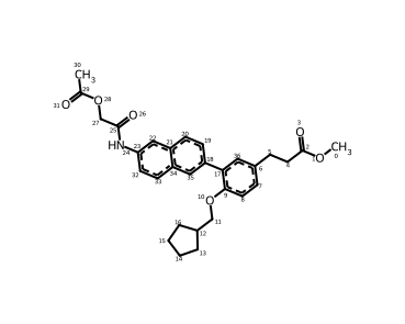 COC(=O)CCc1ccc(OCC2CCCC2)c(-c2ccc3cc(NC(=O)COC(C)=O)ccc3c2)c1